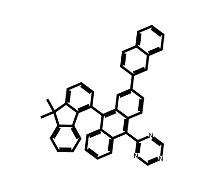 CC1(C)c2ccccc2-c2c(-c3c4ccccc4c(-c4ncncn4)c4ccc(-c5ccc6ccccc6c5)cc34)cccc21